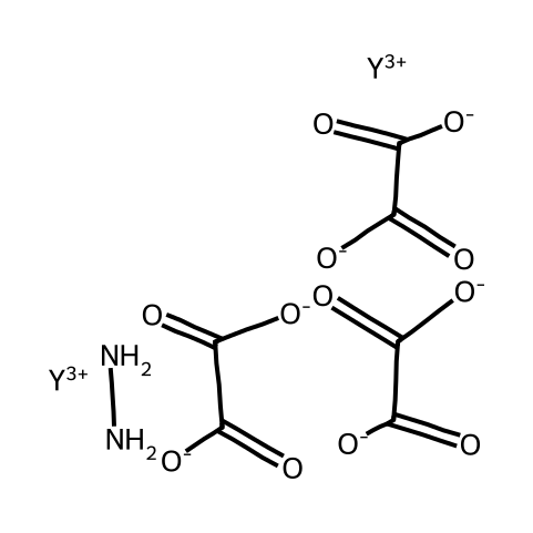 NN.O=C([O-])C(=O)[O-].O=C([O-])C(=O)[O-].O=C([O-])C(=O)[O-].[Y+3].[Y+3]